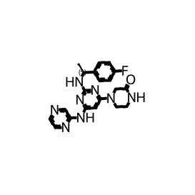 C[C@H](Nc1nc(Nc2cnccn2)cc(N2CCNC(=O)C2)n1)c1ccc(F)cc1